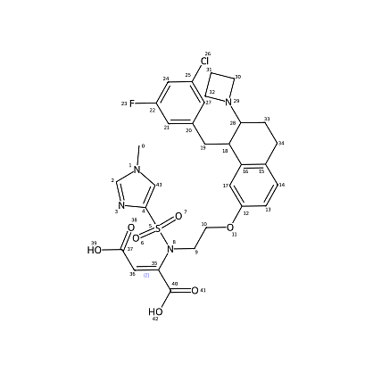 Cn1cnc(S(=O)(=O)N(CCOc2ccc3c(c2)C(Cc2cc(F)cc(Cl)c2)C(N2CCC2)CC3)/C(=C\C(=O)O)C(=O)O)c1